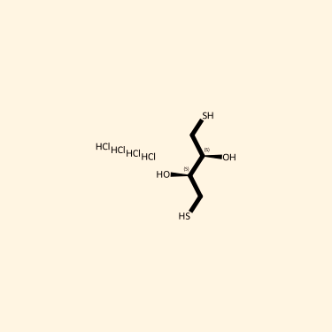 Cl.Cl.Cl.Cl.O[C@H](CS)[C@H](O)CS